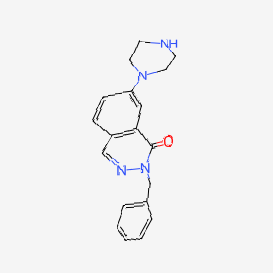 O=c1c2cc(N3CCNCC3)ccc2cnn1Cc1ccccc1